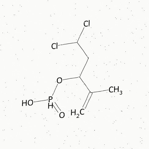 C=C(C)C(CC(Cl)Cl)O[PH](=O)O